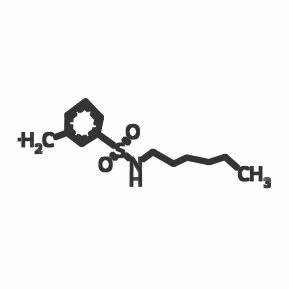 [CH2]c1cccc(S(=O)(=O)NCCCCCC)c1